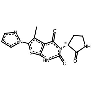 Cc1c(-n2cccn2)sc2[nH]c(=O)n([C@@H]3CCNC3=O)c(=O)c12